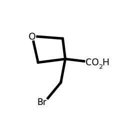 O=C(O)C1(CBr)COC1